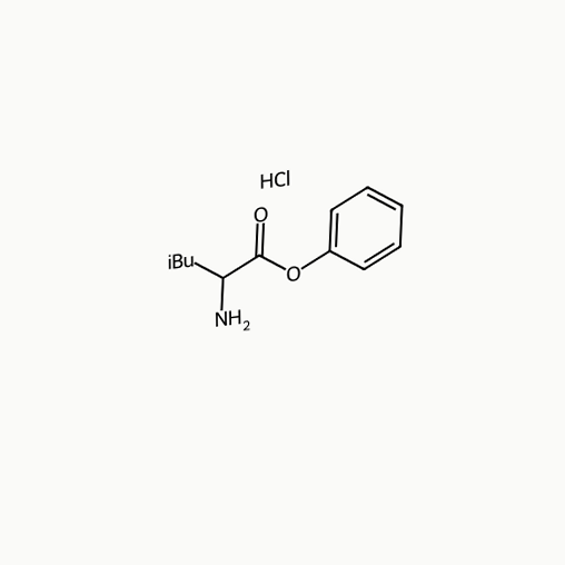 CCC(C)C(N)C(=O)Oc1ccccc1.Cl